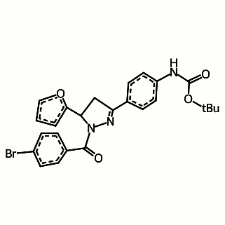 CC(C)(C)OC(=O)Nc1ccc(C2=NN(C(=O)c3ccc(Br)cc3)C(c3ccco3)C2)cc1